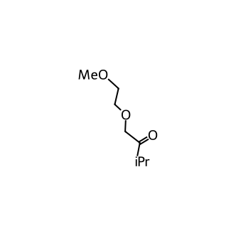 COCCOCC(=O)C(C)C